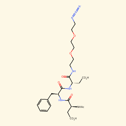 CC(=O)N[C@@H](CC(=O)O)C(=O)N[C@@H](Cc1ccccc1)C(=O)N[C@@H](CC(=O)O)C(=O)NCCOCCOCCN=[N+]=[N-]